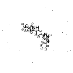 C[C@H](NC(=O)c1ccc(-c2nn(C)c(=NC3CCCCC3)s2)cc1)C(=O)OC(C)(C)C